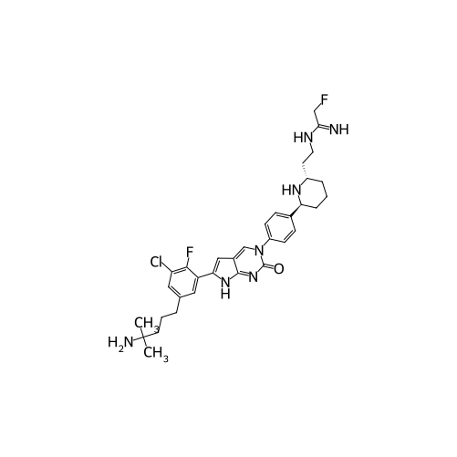 CC(C)(N)CCCc1cc(Cl)c(F)c(-c2cc3cn(-c4ccc([C@@H]5CCC[C@@H](CCNC(=N)CF)N5)cc4)c(=O)nc3[nH]2)c1